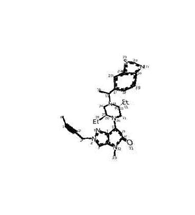 CC#CCn1cc2c(n1)c(N1C[C@@H](CC)N(C(C)c3ccc4ncsc4c3)C[C@@H]1CC)cc(=O)n2C